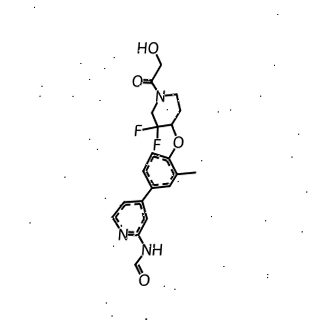 Cc1cc(-c2ccnc(NC=O)c2)ccc1OC1CCN(C(=O)CO)CC1(F)F